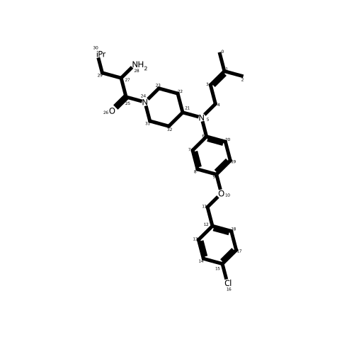 CC(C)=CCN(c1ccc(OCc2ccc(Cl)cc2)cc1)C1CCN(C(=O)C(N)CC(C)C)CC1